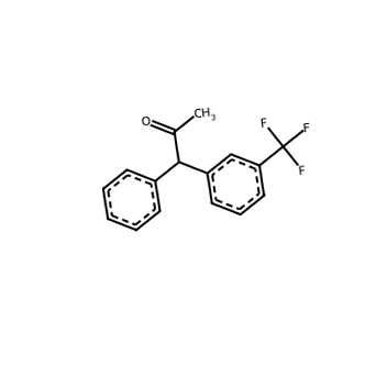 CC(=O)C(c1ccccc1)c1cccc(C(F)(F)F)c1